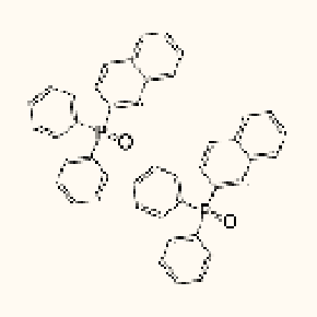 O=P(c1[c]c2ccccc2cc1)(c1ccccc1)c1ccccc1.O=P(c1[c]c2ccccc2cc1)(c1ccccc1)c1ccccc1